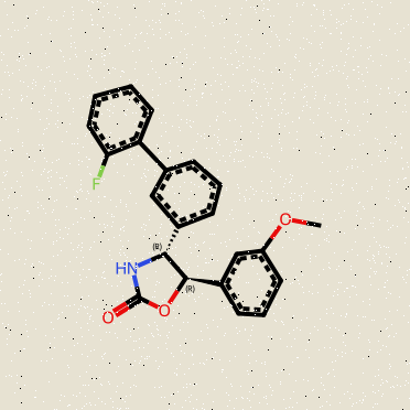 COc1cccc([C@H]2OC(=O)N[C@@H]2c2cccc(-c3ccccc3F)c2)c1